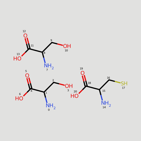 NC(CO)C(=O)O.NC(CO)C(=O)O.NC(CS)C(=O)O